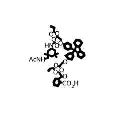 C=CC(=O)OC(COc1ccc(C2(c3ccc(OCC(OC(=O)C=C)OC(=O)NC4CC(C)(C)CC(C)(CNC(C)=O)C4)cc3)c3ccccc3-c3ccccc32)cc1)OCC(=O)c1ccccc1C(=O)O